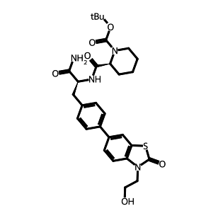 CC(C)(C)OC(=O)N1CCCC[C@H]1C(=O)N[C@@H](Cc1ccc(-c2ccc3c(c2)sc(=O)n3CCO)cc1)C(N)=O